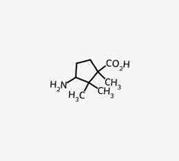 CC1(C(=O)O)CCC(N)C1(C)C